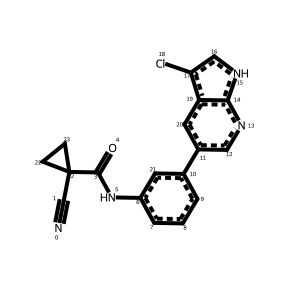 N#CC1(C(=O)Nc2cccc(-c3cnc4[nH]cc(Cl)c4c3)c2)CC1